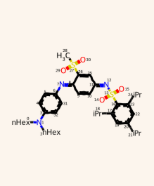 CCCCCCN(CCCCCC)c1ccc(N=C2C=CC(=NS(=O)(=O)c3c(C(C)C)cc(C(C)C)cc3C(C)C)C=C2S(C)(=O)=O)cc1